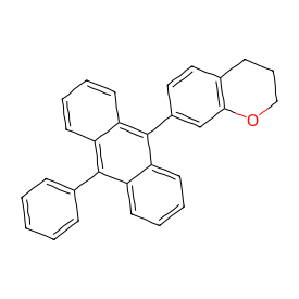 c1ccc(-c2c3ccccc3c(-c3ccc4c(c3)OCCC4)c3ccccc23)cc1